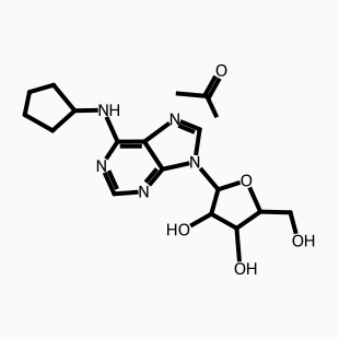 CC(C)=O.OCC1OC(n2cnc3c(NC4CCCC4)ncnc32)C(O)C1O